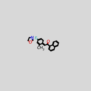 C1=NCCO1.CC1=CC(F)=CCC1=CC(=O)c1cccc2ccccc12